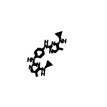 Cc1cnc(Nc2ccc(Nc3ncc(C)c(NC4CC4)n3)cc2)nc1NC1CC1